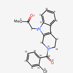 COC(=O)Cn1c2c(c3ccccc31)CCN(C(=O)c1ccccc1C(F)(F)F)C2